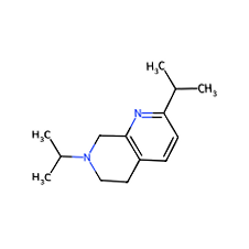 CC(C)c1ccc2c(n1)CN(C(C)C)CC2